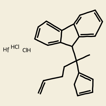 C=CCCC(C)(C1=CC=CC1)C1c2ccccc2-c2ccccc21.Cl.Cl.[Hf]